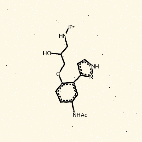 CC(=O)Nc1ccc(OCC(O)CNC(C)C)c(-c2cc[nH]n2)c1